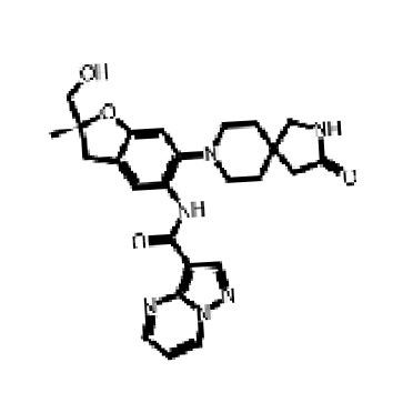 C[C@]1(CO)Cc2cc(NC(=O)c3cnn4cccnc34)c(N3CCC4(CC3)CNC(=O)C4)cc2O1